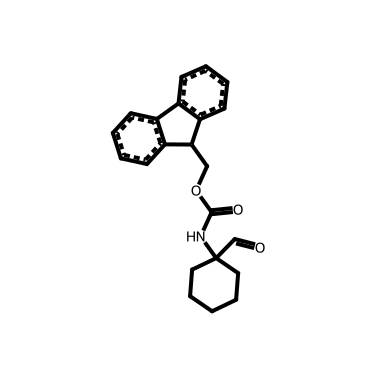 O=CC1(NC(=O)OCC2c3ccccc3-c3ccccc32)CCCCC1